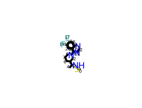 CSNC(C)C1CCCN(c2ncnc3cc(F)c(F)cc23)C1